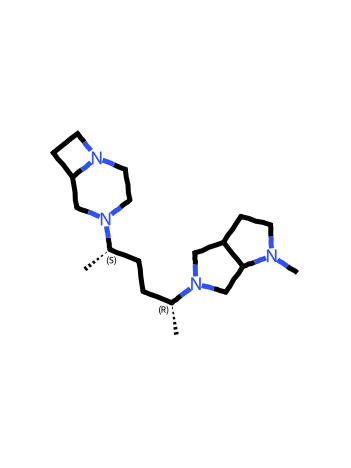 C[C@H](CC[C@H](C)N1CCN2CCC2C1)N1CC2CCN(C)C2C1